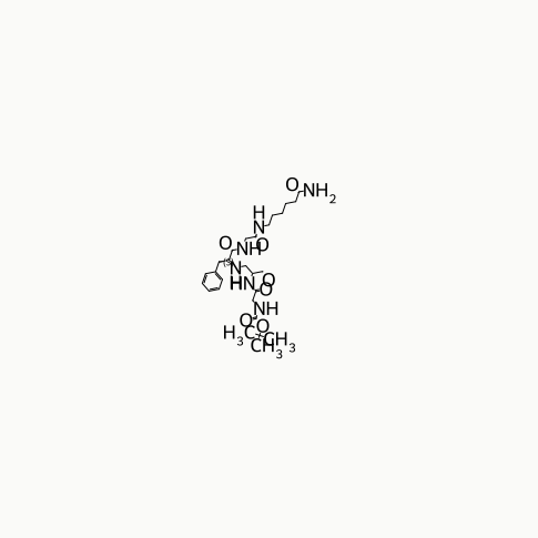 CC(C)(C)OC(=O)NCC(=O)NC(C=O)CN[C@@H](Cc1ccccc1)C(=O)NCC(=O)NCCCCCC(N)=O